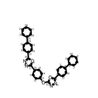 c1ccc(-c2ccc(-c3nnc(Oc4ccc(-c5nnc(-c6ccc(-c7ccccc7)cc6)o5)cc4)o3)cc2)cc1